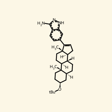 CC(C)(C)O[C@H]1CC[C@@]2(C)[C@@H](CC[C@@H]3[C@@H]2CC[C@]2(C)C(c4ccc5c(N)n[nH]c5c4)=CC[C@@H]32)C1